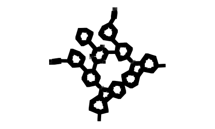 Cc1ccc2c(c1)c1ccccc1n2-c1ccc(-c2cccc(C#N)c2)c(-c2nc(-c3ccccc3)nc(-c3cc(-n4c5ccccc5c5cc(C)ccc54)ccc3-c3cccc(C#N)c3)n2)c1